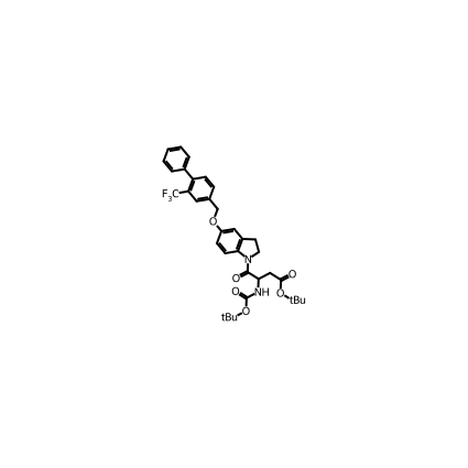 CC(C)(C)OC(=O)CC(NC(=O)OC(C)(C)C)C(=O)N1CCc2cc(OCc3ccc(-c4ccccc4)c(C(F)(F)F)c3)ccc21